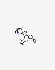 Cc1noc(C)c1-c1c(/C=N\O)c(C(C)C)nn1-c1ccc(O)cc1